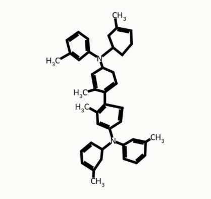 CC1=CC=CC(N(c2cccc(C)c2)c2ccc(C3=CCC(N(c4cccc(C)c4)C4CCC=C(C)C4)C=C3C)c(C)c2)C1